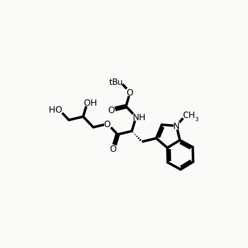 Cn1cc(C[C@@H](NC(=O)OC(C)(C)C)C(=O)OCC(O)CO)c2ccccc21